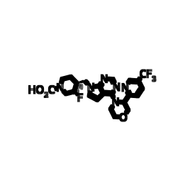 O=C(O)N1CC[C@H](Cn2ccc3c(N4CCOCC4c4ccc(C(F)(F)F)cn4)ncnc32)[C@@H](F)C1